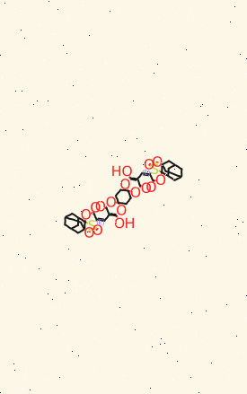 O=C1OC2(CCC3(CC2)OC(=O)C(/C=C2\C(=O)OC4(C5CC6CC(C5)CC4C6)S2(=O)=O)=C(O)O3)OC(O)=C1/C=C1\C(=O)OC2(C3CC4CC(C3)CC2C4)S1(=O)=O